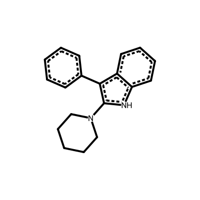 c1ccc(-c2c(N3CCCCC3)[nH]c3ccccc23)cc1